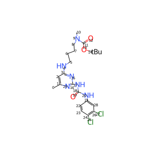 Cc1cc(NCCCCN(C)C(=O)OC(C)(C)C)nc(NC(=O)Nc2ccc(Cl)c(Cl)c2)n1